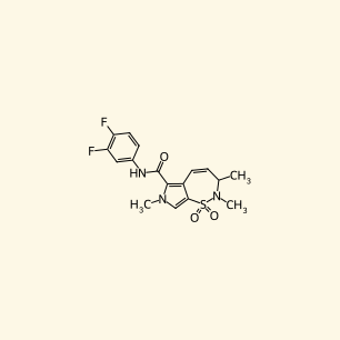 CC1C=Cc2c(cn(C)c2C(=O)Nc2ccc(F)c(F)c2)S(=O)(=O)N1C